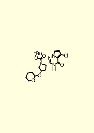 CC(C)(C)OC(=O)N1C[C@H](OC2CCCCO2)C[C@H]1c1nn2ccc(Cl)c2c(=O)[nH]1